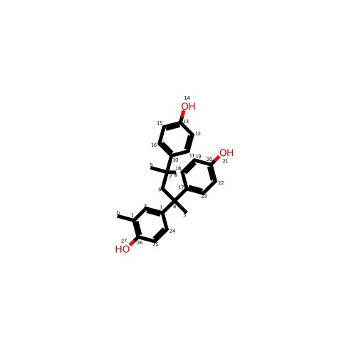 Cc1cc(C(C)(CC(C)(C)c2ccc(O)cc2)c2ccc(O)cc2)ccc1O